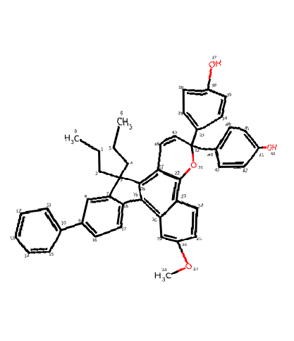 CCCC1(CCC)c2cc(-c3ccccc3)ccc2-c2c1c1c(c3ccc(OC)cc23)OC(c2ccc(O)cc2)(c2ccc(O)cc2)C=C1